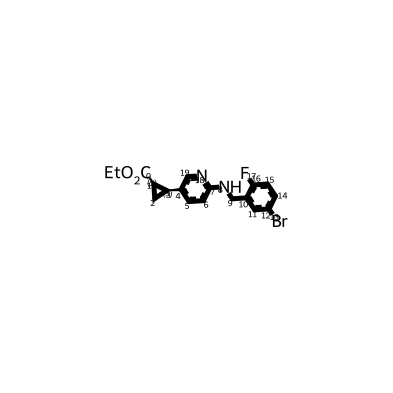 CCOC(=O)[C@H]1C[C@@H]1c1ccc(NCc2cc(Br)ccc2F)nc1